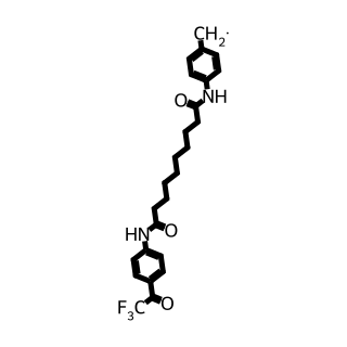 [CH2]c1ccc(NC(=O)CCCCCCCCC(=O)Nc2ccc(C(=O)C(F)(F)F)cc2)cc1